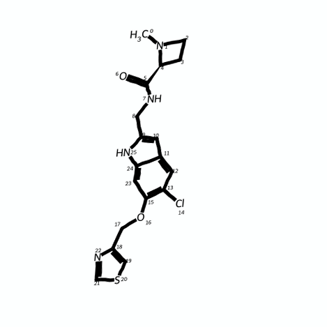 CN1CC[C@H]1C(=O)NCc1cc2cc(Cl)c(OCc3cscn3)cc2[nH]1